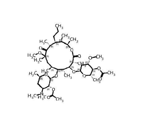 CCC[C@H]1[C@@H](C)[C@@H](C)OC(=O)[C@H](C)[C@@H](O[C@H]2C[C@H](OC)[C@@H](OC(C)=O)[C@H](C)O2)[C@H](C)[C@@H](O[C@@H]2O[C@H](C)CC(N(C)C)[C@H]2OC(C)=O)[C@@H](C)C[C@](C)(OC)C(=O)[C@@H]1C